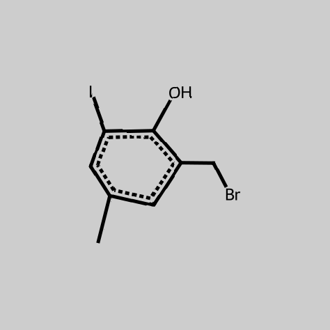 Cc1cc(I)c(O)c(CBr)c1